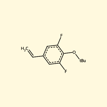 C=Cc1cc(F)c(OC(C)(C)C)c(F)c1